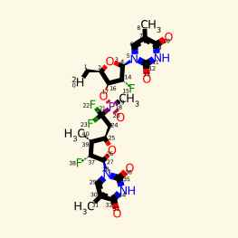 [2H]C[C@H]1O[C@@H](n2cc(C)c(=O)[nH]c2=O)[C@H](F)[C@@H]1OP(C)(=O)C(F)(F)C[C@H]1O[C@@H](n2cc(C)c(=O)[nH]c2=O)[C@H](F)[C@@H]1C